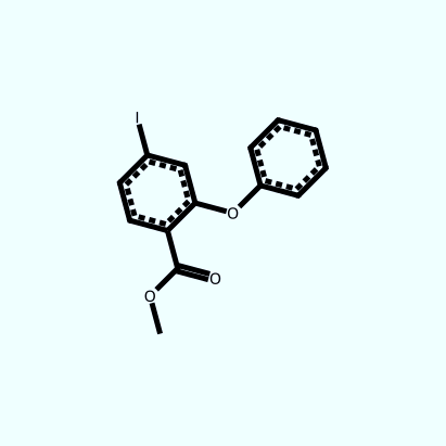 COC(=O)c1ccc(I)cc1Oc1ccccc1